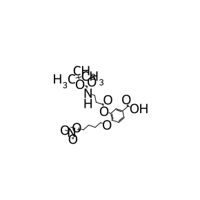 CC(C)(C)OC(=O)NCCC(=O)Oc1cc(C(=O)O)ccc1OCCCCO[N+](=O)[O-]